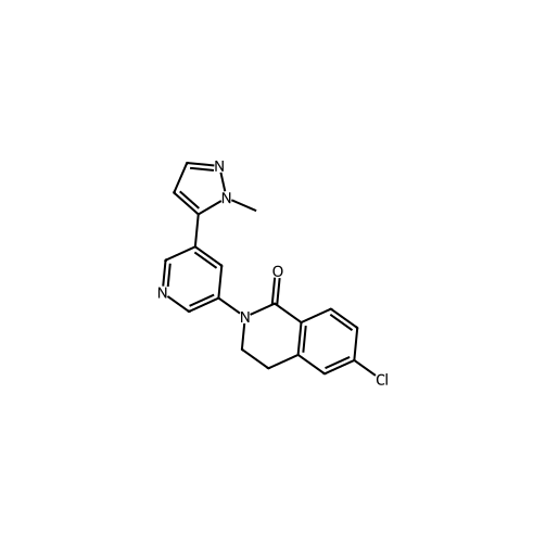 Cn1nccc1-c1cncc(N2CCc3cc(Cl)ccc3C2=O)c1